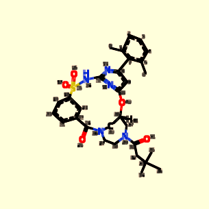 Cc1cccc(C)c1-c1cc2nc(n1)NS(=O)(=O)c1cccc(c1)C(=O)N1CCN(C(=O)CC(C)(C)C)C[C@H](C1)O2